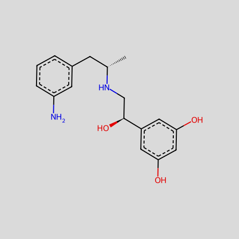 C[C@@H](Cc1cccc(N)c1)NC[C@H](O)c1cc(O)cc(O)c1